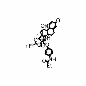 CCCC1O[C@@H]2C[C@H]3[C@@H]4CCC5=CC(=O)C=C[C@]5(C)C4[C@@H](O)C[C@]3(C)[C@]2(C(=O)COc2ccc(NC(=O)CC)cc2)O1